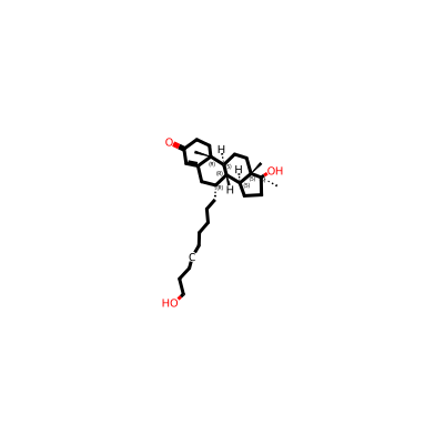 C[C@]12CCC(=O)C=C1C[C@@H](CCCCCCCCCO)[C@@H]1[C@@H]2CC[C@@]2(C)[C@H]1CC[C@]2(C)O